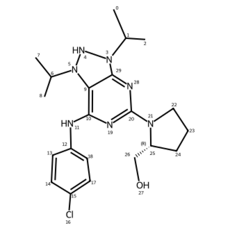 CC(C)N1NN(C(C)C)c2c(Nc3ccc(Cl)cc3)nc(N3CCC[C@@H]3CO)nc21